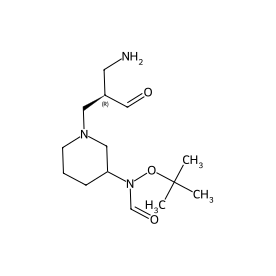 CC(C)(C)ON(C=O)C1CCCN(C[C@H](C=O)CN)C1